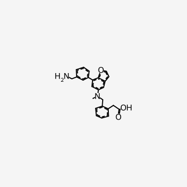 CN(Cc1ccccc1CC(=O)O)c1cc(-c2cccc(CN)c2)c2occc2c1